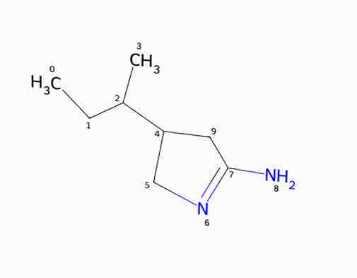 CCC(C)C1CN=C(N)C1